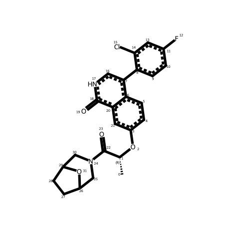 C[C@@H](Oc1ccc2c(-c3ccc(F)cc3Cl)c[nH]c(=O)c2c1)C(=O)N1CC2CCC(C1)O2